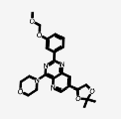 COCOc1cccc(-c2nc(N3CCOCC3)c3ncc(C4COC(C)(C)O4)cc3n2)c1